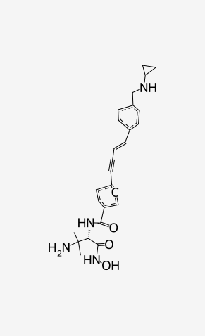 CC(C)(N)[C@H](NC(=O)c1ccc(C#C/C=C/c2ccc(CNC3CC3)cc2)cc1)C(=O)NO